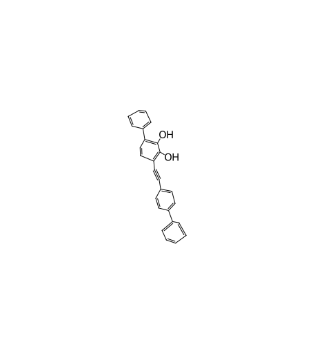 Oc1c(C#Cc2ccc(-c3ccccc3)cc2)ccc(-c2ccccc2)c1O